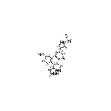 N#CC1CC=C(c2c(-c3ccc(-c4cnn(C(F)F)c4)cc3)cnc3[nH]ccc23)CC1